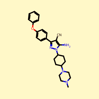 CN1CCN(C2CCC(n3nc(-c4ccc(Oc5ccccc5)cc4)c(C#N)c3N)CC2)CC1